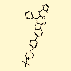 CC(C)(C)N1CCN(c2ccc(-c3ccc4c(c3)CN([C@@H](C(=O)Nc3nccs3)c3ccccc3)C4=O)cc2)CC1